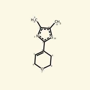 Cc1nc(C2=CCOCC2)sc1C